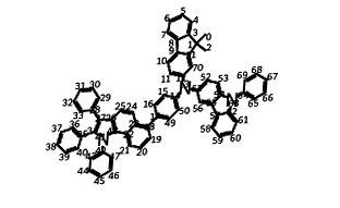 CC1(C)c2ccccc2-c2ccc(N(c3ccc(-c4cccc5c4ccc4c(-c6ccccc6)c(-c6ccccc6)n(-c6ccccc6)c45)cc3)c3ccc4c(c3)c3ccccc3n4-c3ccccc3)cc21